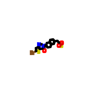 O=c1c2sc(Br)cc2ncn1[C@H]1CCc2cc(CC3OSO3)ccc2C1